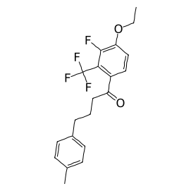 CCOc1ccc(C(=O)CCCc2ccc(C)cc2)c(C(F)(F)F)c1F